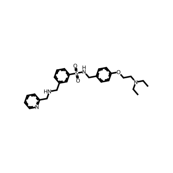 CCN(CC)CCOc1ccc(CNS(=O)(=O)c2cccc(CNCc3ccccn3)c2)cc1